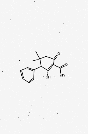 CCCC(=O)C1=C(O)C(c2ccccc2)C(C)(C)CC1=O